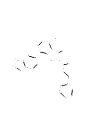 Cn1ncc2ccc(-c3ccc(N)c4c3CN(C(=O)/C=C/c3ccccc3)C4=O)cc21